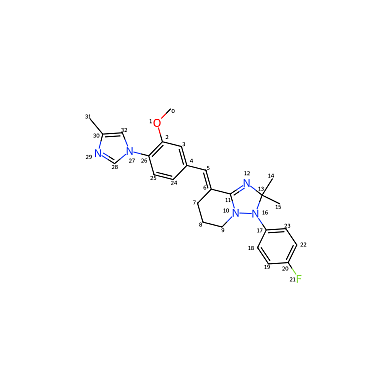 COc1cc(/C=C2\CCCN3C2=NC(C)(C)N3c2ccc(F)cc2)ccc1-n1cnc(C)c1